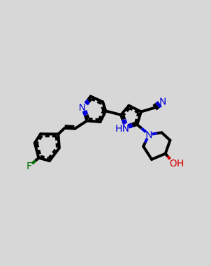 N#Cc1cc(-c2ccnc(C=Cc3ccc(F)cc3)c2)[nH]c1N1CCC(O)CC1